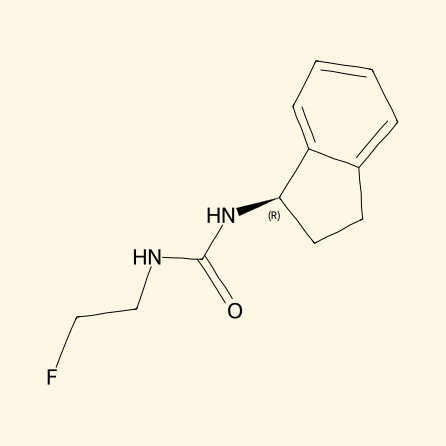 O=C(NCCF)N[C@@H]1CCc2ccccc21